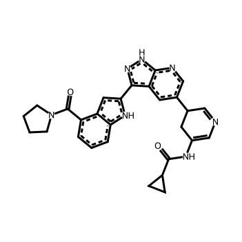 O=C(NC1=CN=CC(c2cnc3[nH]nc(-c4cc5c(C(=O)N6CCCC6)cccc5[nH]4)c3c2)C1)C1CC1